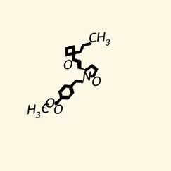 CCCCC1(C(=O)C=C[C@H]2CCC(=O)N2CCc2ccc(C(=O)OC)cc2)CCC1